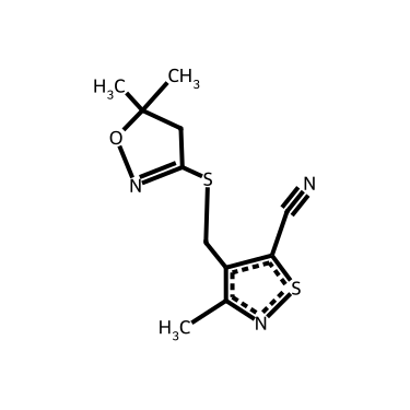 Cc1nsc(C#N)c1CSC1=NOC(C)(C)C1